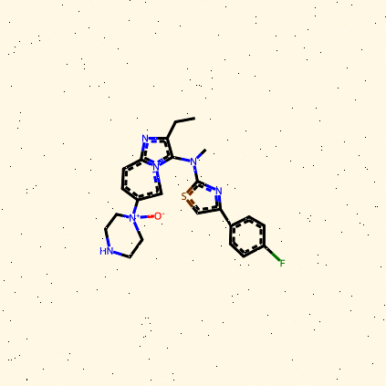 CCc1nc2ccc([N+]3([O-])CCNCC3)cn2c1N(C)c1nc(-c2ccc(F)cc2)cs1